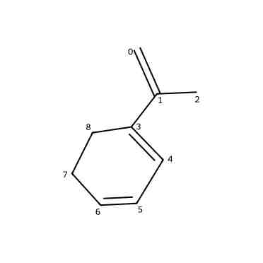 C=C(C)C1=CC=CCC1